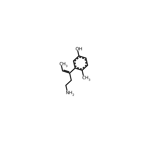 C/C=C(/CCN)c1cc(O)ccc1C